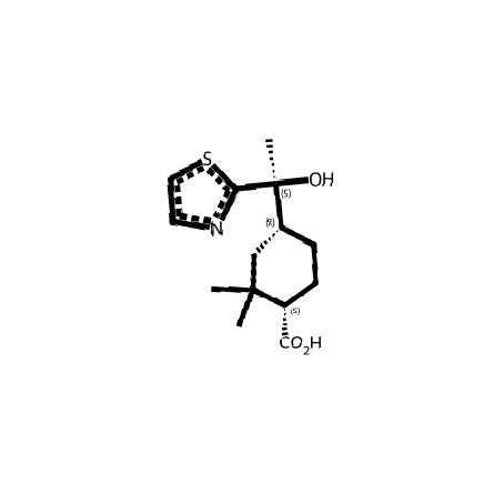 CC1(C)C[C@H]([C@](C)(O)c2nccs2)CC[C@@H]1C(=O)O